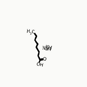 CCCCCCCC(=O)O.[KH].[NaH]